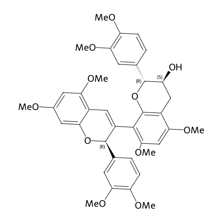 COc1cc(OC)c2c(c1)O[C@H](c1ccc(OC)c(OC)c1)C(c1c(OC)cc(OC)c3c1O[C@H](c1ccc(OC)c(OC)c1)[C@@H](O)C3)=C2